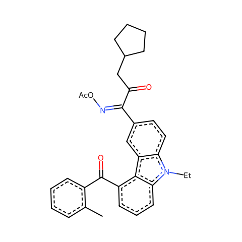 CCn1c2ccc(C(=NOC(C)=O)C(=O)CC3CCCC3)cc2c2c(C(=O)c3ccccc3C)cccc21